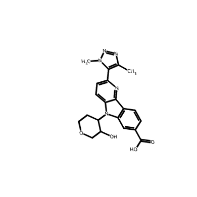 Cc1nnn(C)c1-c1ccc2c(n1)c1ccc(C(=O)O)cc1n2C1CCOCC1O